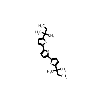 CCC(C)(C)c1ccc(-c2ccc(-c3ccc(C(C)(C)CC)s3)s2)s1